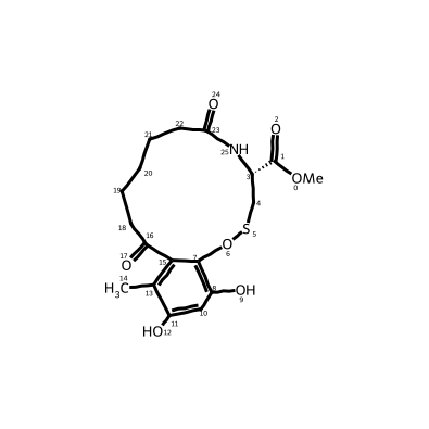 COC(=O)[C@@H]1CSOc2c(O)cc(O)c(C)c2C(=O)CCCCCC(=O)N1